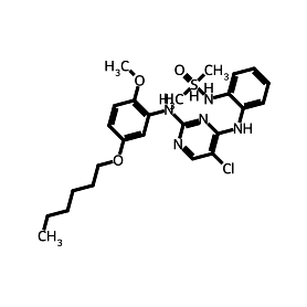 CCCCCCOc1ccc(OC)c(Nc2ncc(Cl)c(Nc3ccccc3N[SH](C)(C)=O)n2)c1